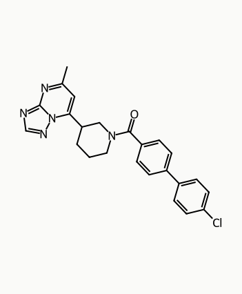 Cc1cc(C2CCCN(C(=O)c3ccc(-c4ccc(Cl)cc4)cc3)C2)n2ncnc2n1